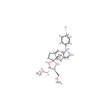 COC[C@@H]1OC2(CCC3=Cc4c(cnn4-c4ccc(F)cc4)C[C@@]32C)O[C@H]1COC